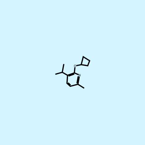 Cc1ccc(C(C)C)c(OC2CCC2)n1